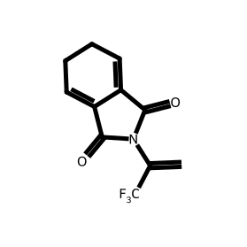 C=C(N1C(=O)C2=CCCC=C2C1=O)C(F)(F)F